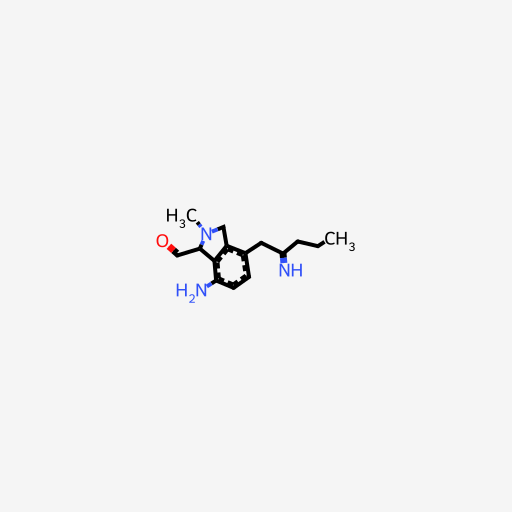 CCCC(=N)Cc1ccc(N)c2c1CN(C)C2C=O